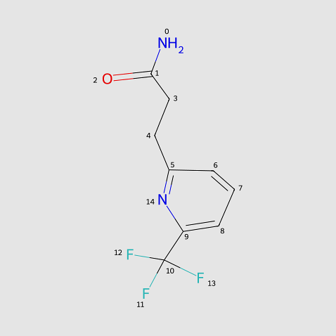 NC(=O)CCc1cccc(C(F)(F)F)n1